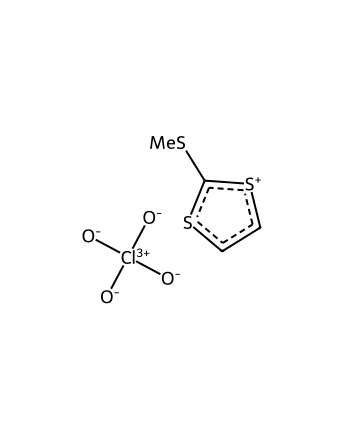 CSc1scc[s+]1.[O-][Cl+3]([O-])([O-])[O-]